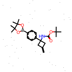 C=C1CC(NC(=O)OC(C)(C)C)(c2ccc(B3OC(C)(C)C(C)(C)O3)cc2)C1